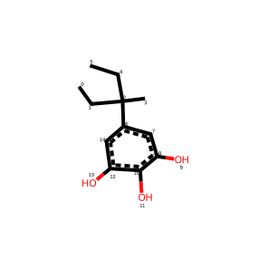 CCC(C)(CC)c1cc(O)c(O)c(O)c1